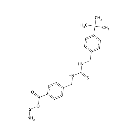 CC(C)(C)c1ccc(CNC(=S)NCc2ccc(C(=O)OSN)cc2)cc1